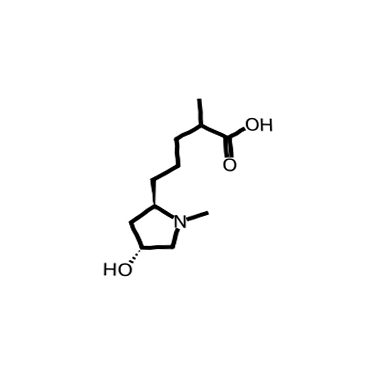 CC(CCC[C@@H]1C[C@@H](O)CN1C)C(=O)O